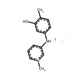 Cc1ccc(Nc2ccc[n+](C)c2)cc1O.[I-]